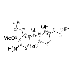 COc1c(N)cc2oc3ccc(CCC(C)C)c(O)c3c(=O)c2c1CCC(C)C